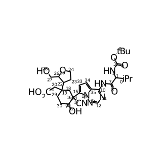 CC(C)C(NC(=O)OC(C)(C)C)C(=O)Nc1ncnn2c([C@@]3(C#N)CC(CC(=O)O)(C4CCOC4CO)CC[C@H]3O)ccc12